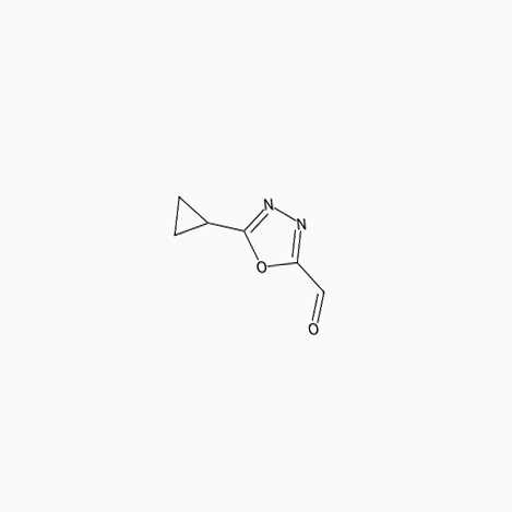 O=Cc1nnc(C2CC2)o1